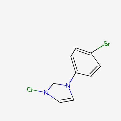 ClN1C=CN(c2ccc(Br)cc2)C1